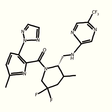 Cc1ccc(-n2nccn2)c(C(=O)N2CC(F)(F)CC(C)[C@H]2CNc2cnc(C(F)(F)F)cn2)n1